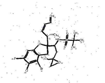 C=C/C=C\[C@H](C)C1(C(CC2(C)CO2)NS(=O)(=O)C(C)(C)C)Cc2c(cc(F)c(Cl)c2Br)O1